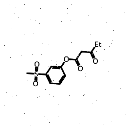 CCC(=O)CC(=O)Oc1cccc(S(C)(=O)=O)c1